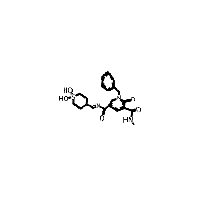 CNC(=O)c1cc(C(=O)NCC2CCS(O)(O)CC2)cn(Cc2ccccc2)c1=O